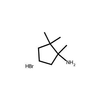 Br.CC1(C)CCCC1(C)N